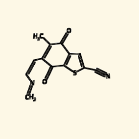 C=N/C=C\C1=C(C)C(=O)c2cc(C#N)sc2C1=O